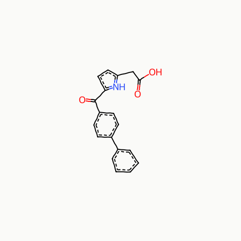 O=C(O)Cc1ccc(C(=O)c2ccc(-c3ccccc3)cc2)[nH]1